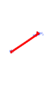 CCCCc1nc2c(N)nnc(OC(C)C)c2n1Cc1ccc(CNC(=O)CCOCCOCCOCCOCCOCCOCCOCCOCCOCCOCCOCCOCCOCCOCCOCCOCCOCCOCCOCCOCCOCCOCCOCCOCCNC(=O)C=CN2C(=O)C=CC2=O)cc1